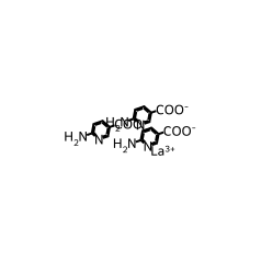 Nc1ccc(C(=O)[O-])cn1.Nc1ccc(C(=O)[O-])cn1.Nc1ccc(C(=O)[O-])cn1.[La+3]